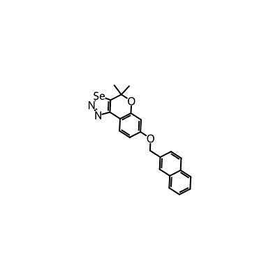 CC1(C)Oc2cc(OCc3ccc4ccccc4c3)ccc2-c2nn[se]c21